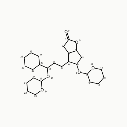 O=C1CC2C(CC(OC3CCCCO3)C2CCC(OC2CCCCO2)C2CCCCC2)O1